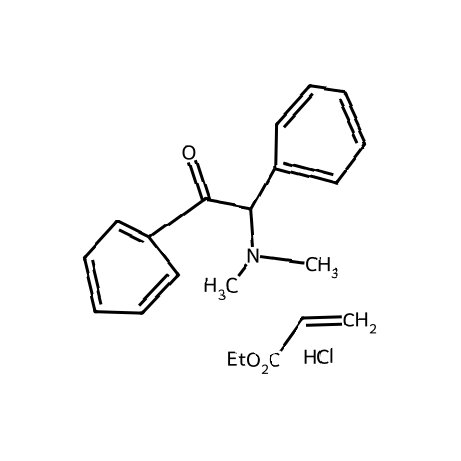 C=CC(=O)OCC.CN(C)C(C(=O)c1ccccc1)c1ccccc1.Cl